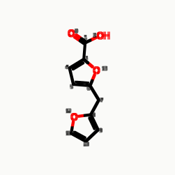 O=C(O)c1ccc(Cc2ccco2)o1